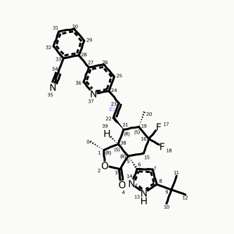 C[C@H]1OC(=O)[C@]2(c3cc(C(C)(C)C)[nH]n3)CC(F)(F)[C@@H](C)[C@H](/C=C/c3ccc(-c4ccccc4C#N)cn3)[C@H]12